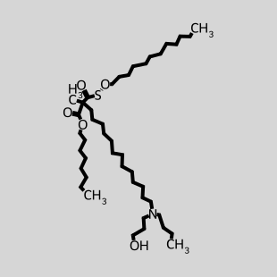 CCCCCCCCCCCCOSC(=O)C(C)(CCCCCCCCCCCCCN(CCCC)CCCO)C(=O)OCCCCCCCC